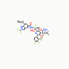 COc1cc(C(=O)NC[C@](O)(c2cc3c(c(-c4ccc(F)c(F)c4Cl)n2)OC[C@]3(C)C(N)=O)C2(F)CC2)cc2cn(C(F)F)nc12